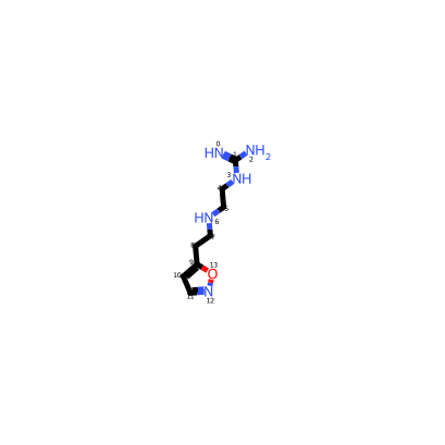 N=C(N)NCCNCCc1ccno1